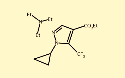 CCN(CC)CC.CCOC(=O)c1cnn(C2CC2)c1C(F)(F)F